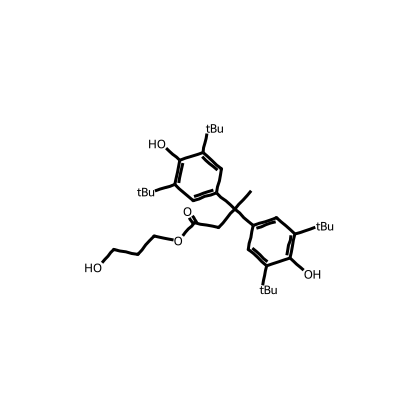 CC(C)(C)c1cc(C(C)(CC(=O)OCCCO)c2cc(C(C)(C)C)c(O)c(C(C)(C)C)c2)cc(C(C)(C)C)c1O